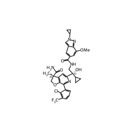 COc1cc(C(=O)NC[C@](O)(c2cc3c(c(-c4cccc(C(F)(F)F)c4Cl)n2)OC[C@]3(C)C(N)=O)C2CC2)cc2cn(C3CC3)nc12